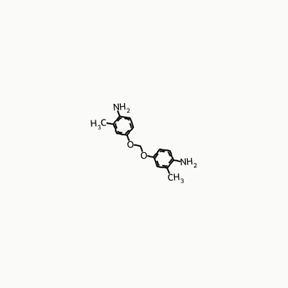 Cc1cc(OCOc2ccc(N)c(C)c2)ccc1N